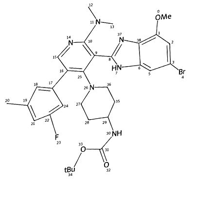 COc1cc(Br)cc2[nH]c(-c3c(N(C)C)ncc(-c4cc(C)cc(F)c4)c3N3CCC(NC(=O)OC(C)(C)C)CC3)nc12